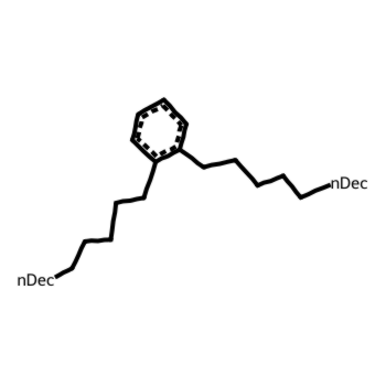 CCCCCCCCCCCCCCCc1ccccc1CCCCCCCCCCCCCCC